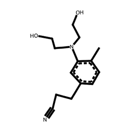 Cc1ccc(CCC#N)cc1N(CCO)CCO